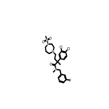 CN(Cc1cccc(F)c1)C(=O)C(C)(CCN1CCCN(S(C)(=O)=O)CC1)c1ccc(Cl)c(Cl)c1